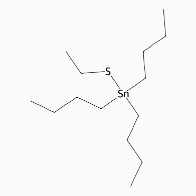 CCC[CH2][Sn]([CH2]CCC)([CH2]CCC)[S]CC